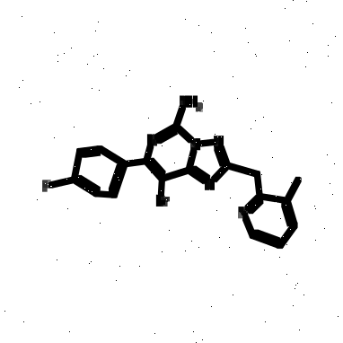 Cc1cccnc1Cc1nc2c(Br)c(-c3ccc(F)cc3)nc(N)n2n1